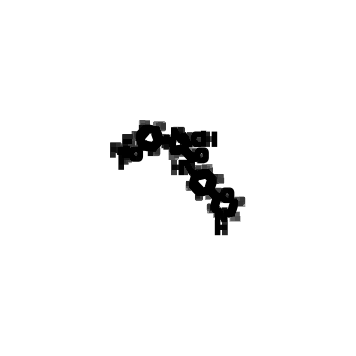 Cl.O=C(Nc1ccc(C2CNCCO2)cc1)c1cn(-c2cccc(OC(F)(F)F)c2)nn1